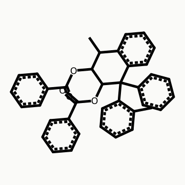 Cc1ccccc1C1(c2ccccc2)c2ccccc2C(C)C(OC(=O)c2ccccc2)C1OC(=O)c1ccccc1